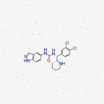 O=C(Nc1ccc2[nH]ncc2c1)N[C@H](c1ccc(Cl)c(Cl)c1)[C@H]1CCCCN1